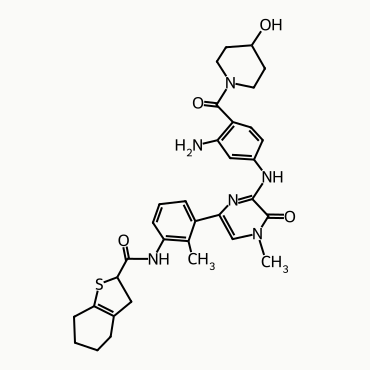 Cc1c(NC(=O)C2CC3=C(CCCC3)S2)cccc1-c1cn(C)c(=O)c(Nc2ccc(C(=O)N3CCC(O)CC3)c(N)c2)n1